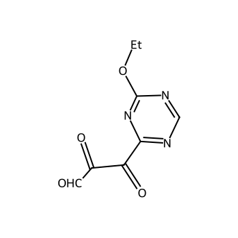 CCOc1ncnc(C(=O)C(=O)C=O)n1